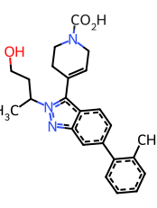 Cc1ccccc1-c1ccc2c(C3=CCN(C(=O)O)CC3)n(C(C)CCO)nc2c1